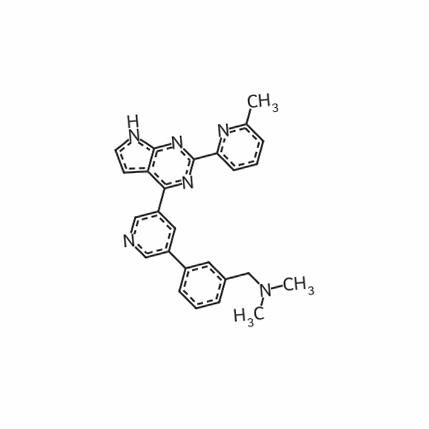 Cc1cccc(-c2nc(-c3cncc(-c4cccc(CN(C)C)c4)c3)c3cc[nH]c3n2)n1